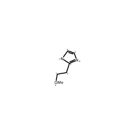 COCCC1=NC=C[N]1